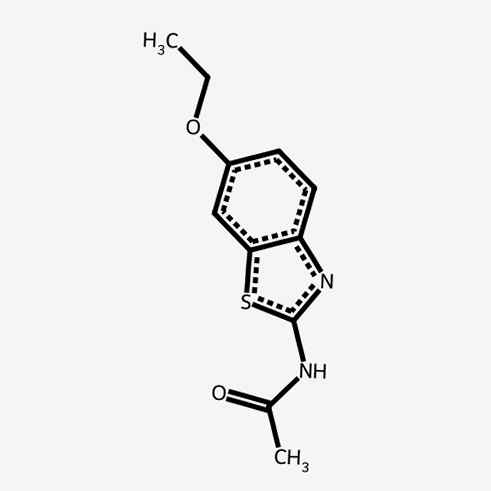 CCOc1ccc2nc(NC(C)=O)sc2c1